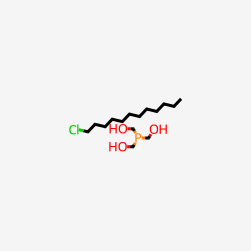 CCCCCCCCCCCCCl.OCP(CO)CO